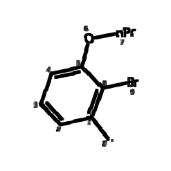 [CH2]c1cccc(OCCC)c1Br